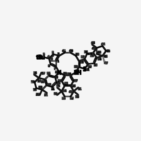 Cc1c2cc(C(C)(C)C)cc1N(c1ccc3c(c1)C(C)(C)CCC3(C)C)c1cc3c(cc1Bc1sc4cc5c(cc4c1CCC2)C1(C)CC[C@]5(C)C1)C(C)(C)CCC3(C)C